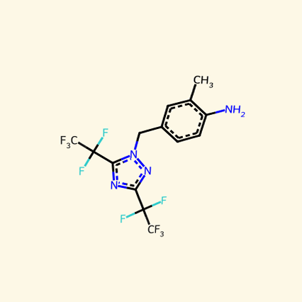 Cc1cc(Cn2nc(C(F)(F)C(F)(F)F)nc2C(F)(F)C(F)(F)F)ccc1N